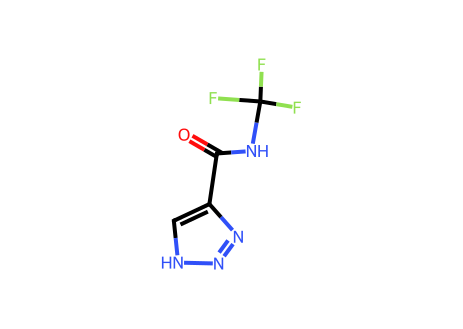 O=C(NC(F)(F)F)c1c[nH]nn1